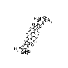 CN(C)c1cc2nc3c4ccc5c6ccc7c(=O)n8c9cc([N+](=O)[O-])c(N(C)C)cc9nc8c8ccc(c9ccc(c(=O)n3c2cc1N)c4c59)c6c78